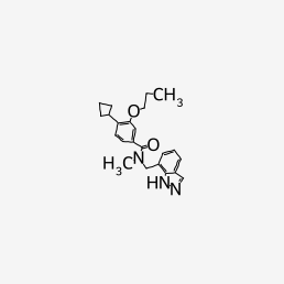 CCCOc1cc(C(=O)N(C)Cc2cccc3cn[nH]c23)ccc1C1CCC1